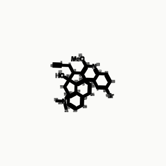 C#CCC(c1cc2cc(Br)ccc2nc1OC)C(O)(CCN(C)C)c1cccc2ccccc12